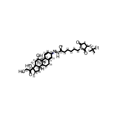 CCC(C)(C)SC1CC(=O)N(CCCCCC(=O)N/N=C2/C=C[C@@]3(C)C(=C2)CC[C@H]2[C@@H]4C[C@@H](C)[C@](O)(C(=O)CO)[C@@]4(C)C[C@H](O)[C@@]23F)C1=O